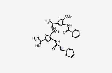 CSc1sc(C(=N)N)cc1NC(=O)/C=C/c1ccccc1.CSc1sc(C(=N)N)cc1NC(=O)c1ccccc1